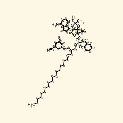 CCCCCCCCCCCCCCCCCCOCC(COc1cc(F)cc(C#N)c1)COP(=O)(OC[C@@]1(C#N)OC[C@]2(c3ccc4c(N)ncnn34)OC(C)(C)O[C@H]12)Oc1ccccc1Cl